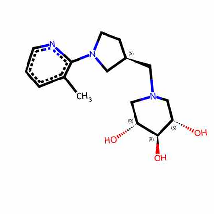 Cc1cccnc1N1CC[C@@H](CN2C[C@@H](O)[C@H](O)[C@@H](O)C2)C1